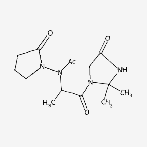 CC(=O)N(C(C)C(=O)N1CC(=O)NC1(C)C)N1CCCC1=O